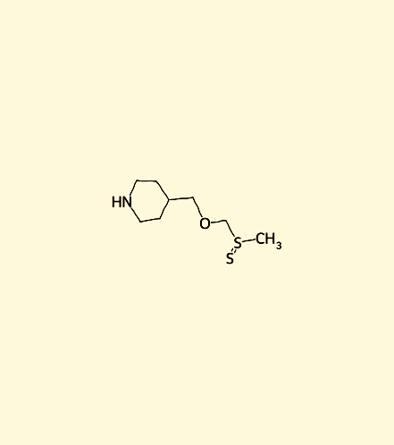 CS(=S)COCC1CCNCC1